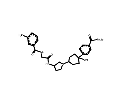 CNC(=O)c1ccc(C2(O)CCC(N3CCC(NC(=O)CNC(=O)c4cccc(C(F)(F)F)c4)C3)CC2)cc1